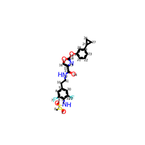 CS(=O)(=O)Nc1c(F)cc(CCNC(=O)c2coc(Oc3cccc(C4CC4)c3)n2)cc1F